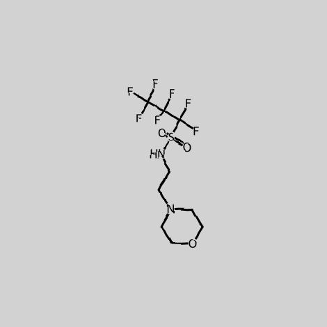 O=S(=O)(NCCN1CCOCC1)C(F)(F)C(F)(F)C(F)(F)F